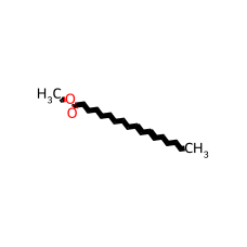 CCCCCC=CC=CCCCCCCCCC(=O)OCC